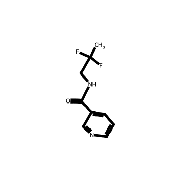 CC(F)(F)CNC(=O)c1cccnc1